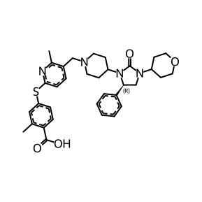 Cc1cc(Sc2ccc(CN3CCC(N4C(=O)N(C5CCOCC5)C[C@H]4c4ccccc4)CC3)c(C)n2)ccc1C(=O)O